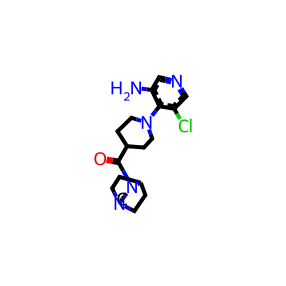 Nc1cncc(Cl)c1N1CCC(C(=O)N2CN3CCC2CC3)CC1